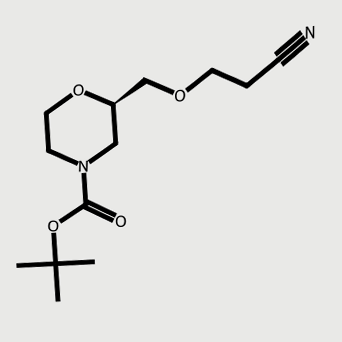 CC(C)(C)OC(=O)N1CCO[C@@H](COCCC#N)C1